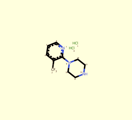 Cl.Cl.FC(F)(F)c1cccnc1N1CCNCC1